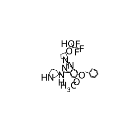 COc1cc2c(N[C@@H]3CCCNC3)nc(N3CCCC3)nc2cc1OCc1ccccc1.O=C(O)C(F)(F)F